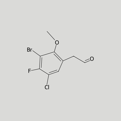 COc1c(CC=O)cc(Cl)c(F)c1Br